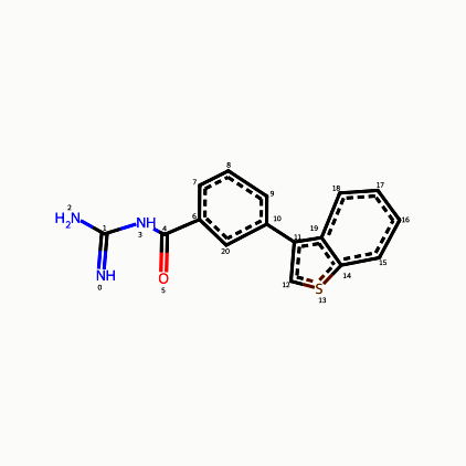 N=C(N)NC(=O)c1cccc(-c2csc3ccccc23)c1